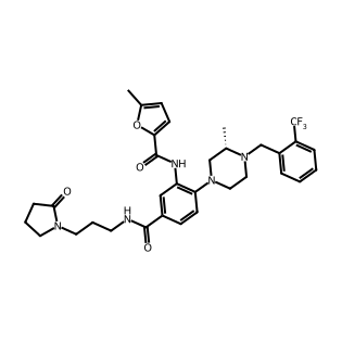 Cc1ccc(C(=O)Nc2cc(C(=O)NCCCN3CCCC3=O)ccc2N2CCN(Cc3ccccc3C(F)(F)F)[C@@H](C)C2)o1